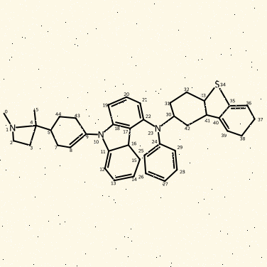 CN1CCC1(C)C1CC=C(N2C3=CC=CCC3c3c2cccc3N(c2ccccc2)C2CCC3SC4=CCCC=C4C3C2)CC1